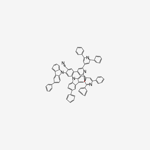 N#Cc1cc(-c2cc(-c3cc(-c4ccccc4)nc(-c4ccccc4)c3)nc(-c3cc(-c4ccccc4)nc(-c4ccccc4)c3)c2)c(-n2c3ccccc3c3cc(-c4ccccc4)ccc32)cc1-n1c2ccccc2c2cc(-c3ccccc3)ccc21